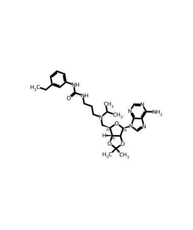 CCc1cccc(NC(=O)NCCCN(C[C@H]2O[C@@H](n3cnc4c(N)ncnc43)C3OC(C)(C)O[C@@H]32)C(C)C)c1